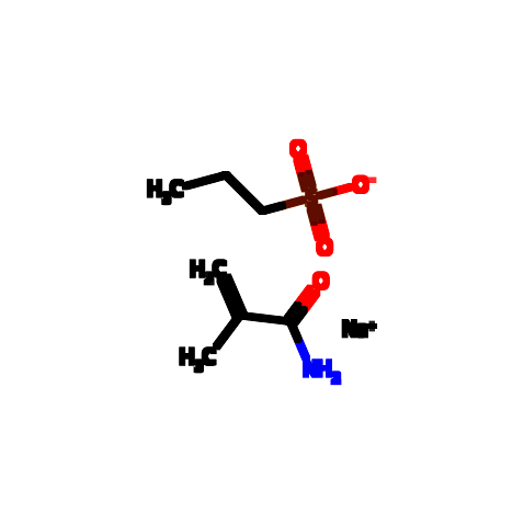 C=C(C)C(N)=O.CCCS(=O)(=O)[O-].[Na+]